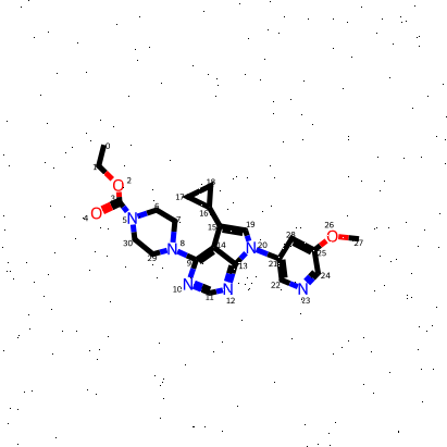 CCOC(=O)N1CCN(c2ncnc3c2c(C2CC2)cn3-c2cncc(OC)c2)CC1